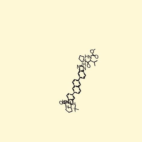 COC(=O)N[C@H](C(=O)N1CCC[C@H]1c1nc2cc(-c3ccc4cc(-c5ccc6[nH]c([C@@]7(C(C)(C)C)CCCN7C(=O)O)nc6c5)ccc4c3)ccc2[nH]1)C(C)C